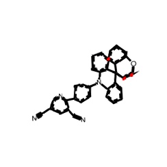 N#Cc1cnc(-c2ccc(N3c4ccccc4C4(c5ccccc5Oc5ccccc54)c4ccccc43)cc2)c(C#N)c1